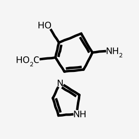 Nc1ccc(C(=O)O)c(O)c1.c1c[nH]cn1